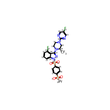 CC(C)S(=O)(=O)c1ccc(S(=O)(=O)n2nc(N3CCN(c4ncc(F)cn4)C[C@H]3C(F)(F)F)c3c(F)cccc32)cc1